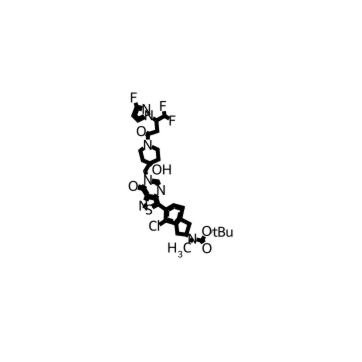 CN(C(=O)OC(C)(C)C)C1Cc2ccc(-c3snc4c(=O)n(CC5(O)CCN(C(=O)CC(C(F)F)n6ccc(F)n6)CC5)cnc34)c(Cl)c2C1